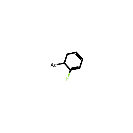 CC(=O)C1CC=CC=C1F